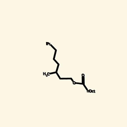 CCCCCCCCC(=O)OCCC(C)CCCC(C)C